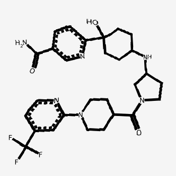 NC(=O)c1ccc(C2(O)CCC(NC3CCN(C(=O)C4CCN(c5cc(C(F)(F)F)ccn5)CC4)C3)CC2)nc1